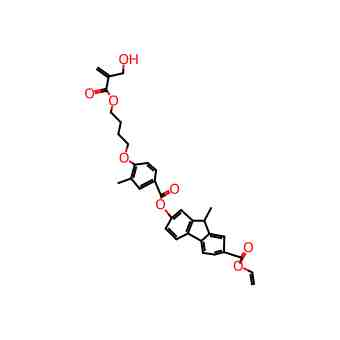 C=COC(=O)c1ccc2c(c1)C(C)c1cc(OC(=O)c3ccc(OCCCCOC(=O)C(=C)CO)c(C)c3)ccc1-2